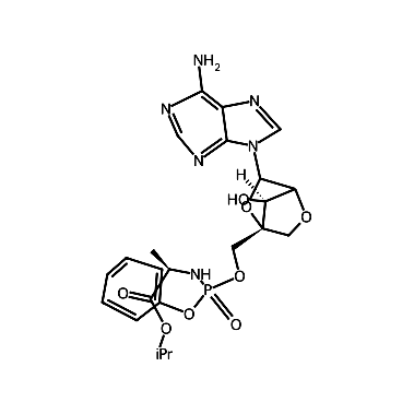 CC(C)OC(=O)[C@@H](C)NP(=O)(OC[C@@]12COC(C(n3cnc4c(N)ncnc43)O1)[C@@H]2O)Oc1ccccc1